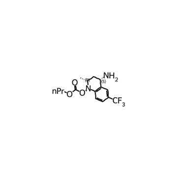 CCCOC(=O)ON1c2ccc(C(F)(F)F)cc2[C@@H](N)C[C@H]1C